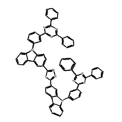 c1ccc(-c2nc(-c3ccccc3)nc(-c3cccc(-n4c5ccccc5c5cc(-c6nnc(-c7ccc8c9ccccc9n(-c9cccc(-c%10nc(-c%11ccccc%11)nc(-c%11ccccc%11)n%10)c9)c8c7)s6)ccc54)c3)n2)cc1